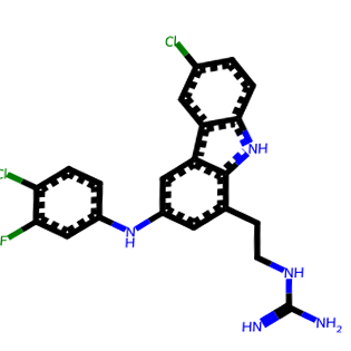 N=C(N)NCCc1cc(Nc2ccc(Cl)c(F)c2)cc2c1[nH]c1ccc(Cl)cc12